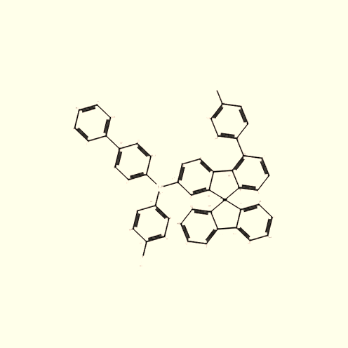 Fc1ccc(-c2cccc3c2-c2ccc(N(c4ccc(F)cc4)c4ccc(-c5ccccc5)cc4)cc2C32c3ccccc3-c3ccccc32)cc1